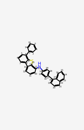 c1ccc(-c2cccc3c2sc2c(Nc4ccc(-c5cccc6ccccc56)cc4)cccc23)cc1